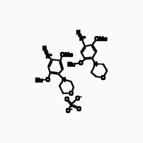 CCC(C)Oc1cc([N+]#N)c(OC)cc1N1CCOCC1.CCC(C)Oc1cc([N+]#N)c(OC)cc1N1CCOCC1.O=S(=O)([O-])[O-]